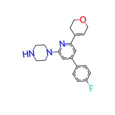 Fc1ccc(-c2cc(C3=CCOCC3)nc(N3CCNCC3)c2)cc1